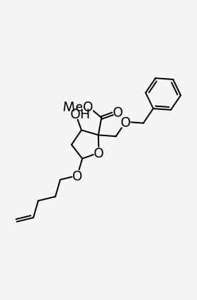 C=CCCCOC1CC(O)C(COCc2ccccc2)(C(=O)OC)O1